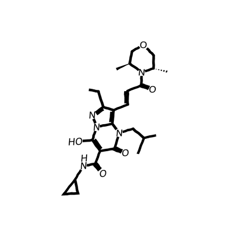 CCc1nn2c(O)c(C(=O)NC3CC3)c(=O)n(CC(C)C)c2c1/C=C/C(=O)N1[C@@H](C)COC[C@@H]1C